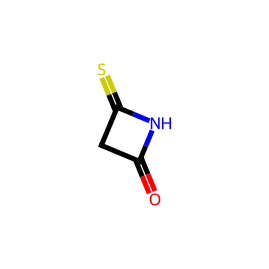 O=C1CC(=S)N1